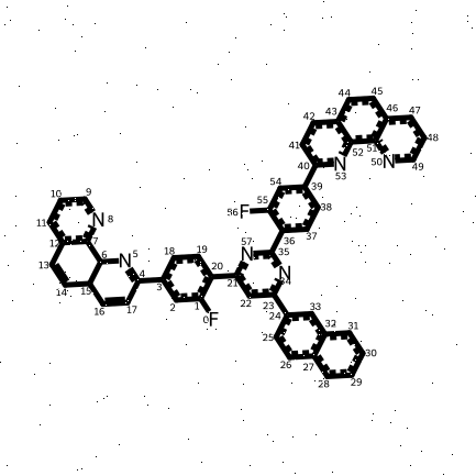 Fc1cc(C2=NC3c4ncccc4C=CC3C=C2)ccc1-c1cc(-c2ccc3ccccc3c2)nc(-c2ccc(-c3ccc4ccc5cccnc5c4n3)cc2F)n1